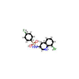 O=S(=O)(Nc1cnc2c(Br)cccc2c1)c1ccc(F)cc1